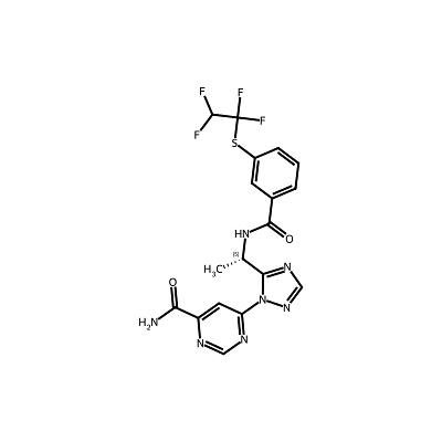 C[C@H](NC(=O)c1cccc(SC(F)(F)C(F)F)c1)c1ncnn1-c1cc(C(N)=O)ncn1